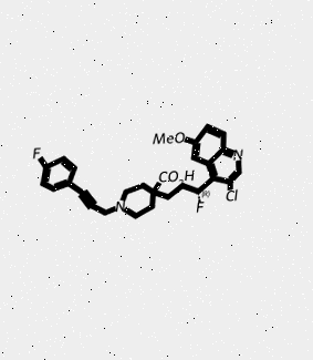 COc1ccc2ncc(Cl)c([C@H](F)CCC3(C(=O)O)CCN(CC#Cc4ccc(F)cc4)CC3)c2c1